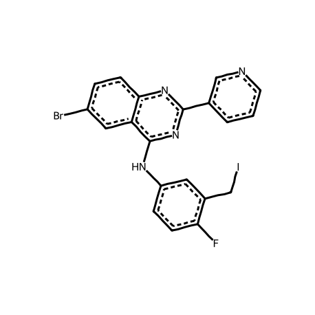 Fc1ccc(Nc2nc(-c3cccnc3)nc3ccc(Br)cc23)cc1CI